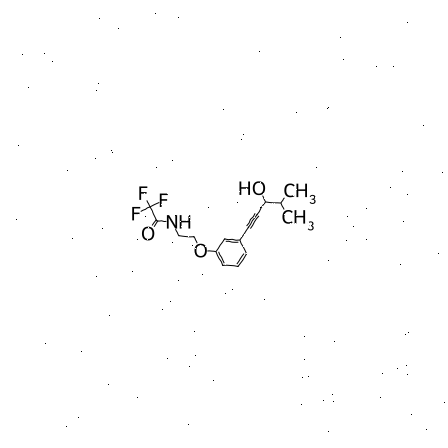 CC(C)C(O)C#Cc1cccc(OCCNC(=O)C(F)(F)F)c1